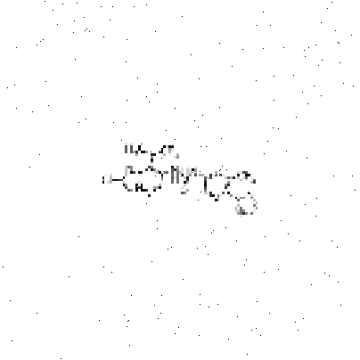 CC(c1c(NC(=O)Nc2cnc(-n3nccn3)c(C(F)(F)F)c2)cnn2cc(Cl)nc12)C(F)(F)F